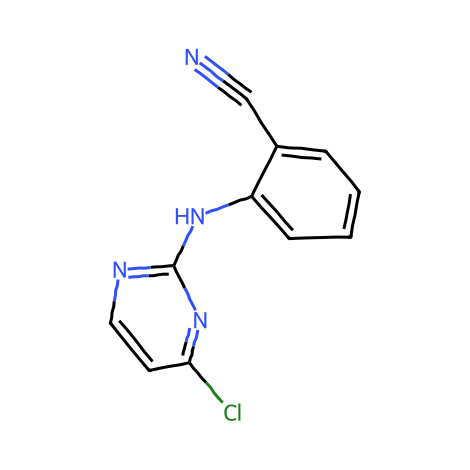 N#Cc1ccccc1Nc1nccc(Cl)n1